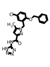 Cc1cc(C(=O)Nc2nnn[nH]2)nn1Cc1cc(Cl)ccc1OCc1ccccc1